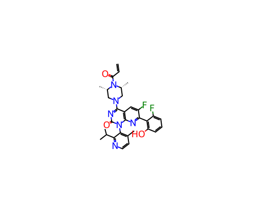 C=CC(=O)N1[C@H](C)CN(c2nc(=O)n(-c3c(C)ccnc3C(C)C)c3nc(-c4c(O)cccc4F)c(F)cc23)C[C@@H]1C